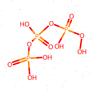 O=P(O)(O)OP(=O)(O)OP(=O)(O)OO